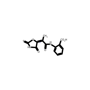 C/C(C(=O)Nc1ccccc1C(=O)O)=C1\SC(=S)NC1=O